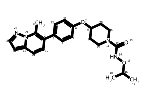 Cc1c(-c2ccc(OC3CCN(C(=O)NOC(C)C)CC3)cc2)ccc2ccnn12